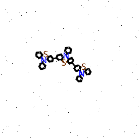 c1ccc(N2c3ccccc3Sc3cc(-c4ccc5c(c4)Sc4cc(-c6ccc7c(c6)Sc6ccccc6N7c6ccccc6)ccc4N5c4ccccc4)ccc32)cc1